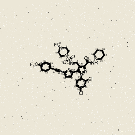 CCN1CCN(S(=O)(=O)NCc2c(C(=O)NN3CCCCC3)nn(-c3ccc(Cl)cc3Cl)c2-c2ccc(C#Cc3ccc(C(F)(F)F)cc3)s2)CC1